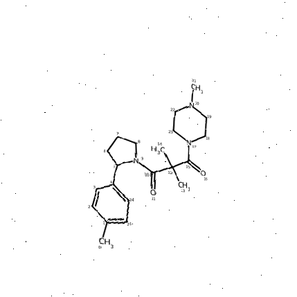 Cc1ccc(C2CCCN2C(=O)C(C)(C)C(=O)N2CCN(C)CC2)cc1